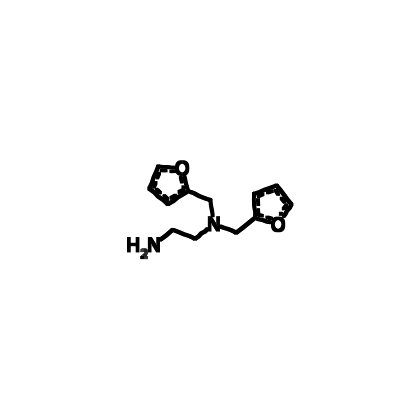 NCCN(Cc1ccco1)Cc1ccco1